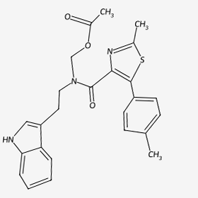 CC(=O)OCN(CCc1c[nH]c2ccccc12)C(=O)c1nc(C)sc1-c1ccc(C)cc1